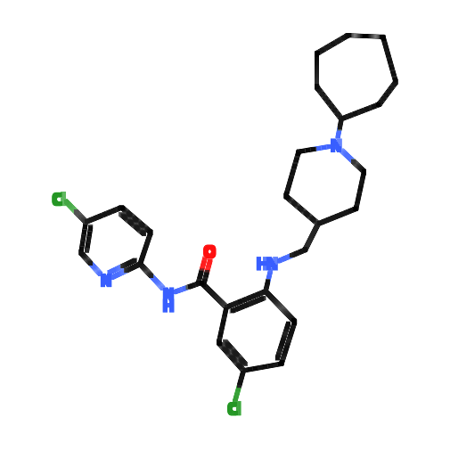 O=C(Nc1ccc(Cl)cn1)c1cc(Cl)ccc1NCC1CCN(C2CCCCCC2)CC1